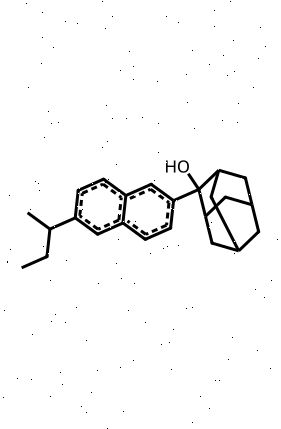 CCC(C)c1ccc2cc(C3(O)C4CC5CC(C4)CC3C5)ccc2c1